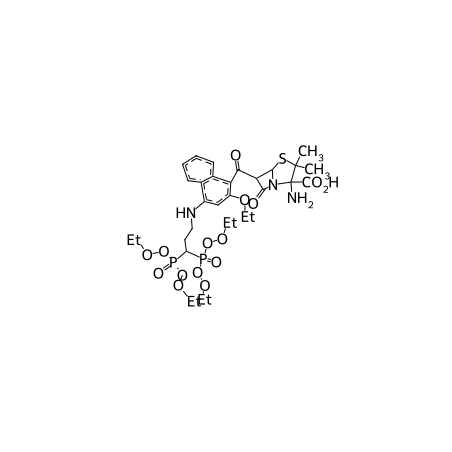 CCOOP(=O)(OOCC)C(CCNc1cc(OCC)c(C(=O)C2C(=O)N3C2SC(C)(C)C3(N)C(=O)O)c2ccccc12)P(=O)(OOCC)OOCC